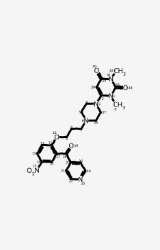 Cn1c(N2CCN(CCCOc3ccc([N+](=O)[O-])cc3C(=O)c3ccncc3)CC2)cc(=O)n(C)c1=O